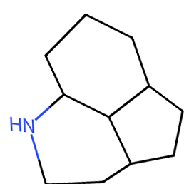 C1CC2CCC3CCNC(C1)C23